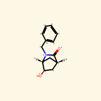 O=C1[C@@H]2C[C@@H](O)[C@@H](C2)N1Cc1ccccc1